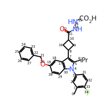 Cc1cc(-n2c(C(C)C)c(C3CC(C(=O)NNC(=O)O)C3)c3cc(OCc4ccccc4)ccc32)ccc1F